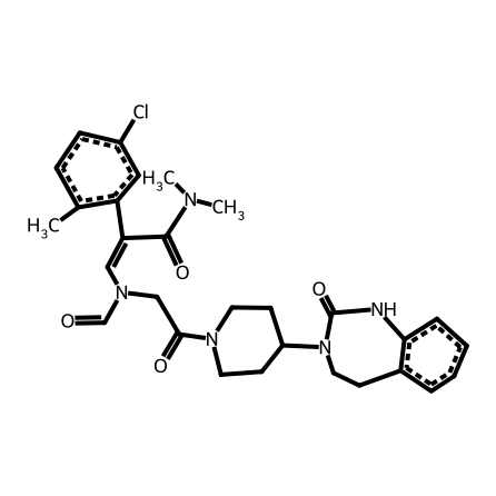 Cc1ccc(Cl)cc1/C(=C/N(C=O)CC(=O)N1CCC(N2CCc3ccccc3NC2=O)CC1)C(=O)N(C)C